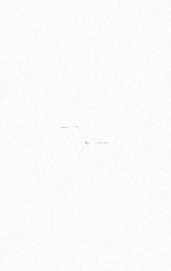 CC(C)C(=O)C(Cl)Cl